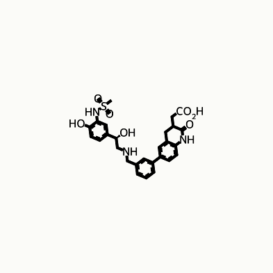 CS(=O)(=O)Nc1cc([C@@H](O)CNCc2cccc(-c3ccc4c(c3)CC(CC(=O)O)C(=O)N4)c2)ccc1O